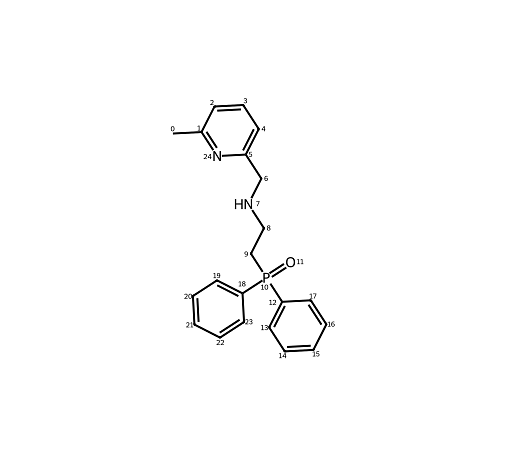 Cc1cccc(CNCCP(=O)(c2ccccc2)c2ccccc2)n1